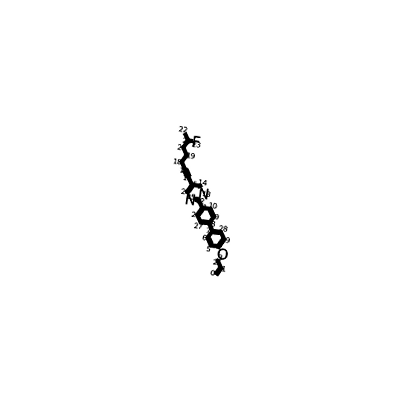 C=CCOc1ccc(-c2ccc(-c3ncc(C#CCCCC(C)F)cn3)cc2)cc1